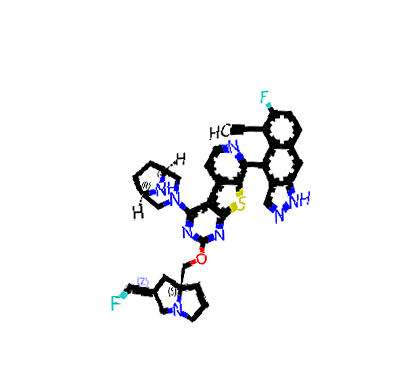 C#Cc1c(F)ccc2cc3[nH]ncc3c(-c3nccc4c3sc3nc(OC[C@@]56CCCN5C/C(=C\F)C6)nc(N5C[C@H]6CC[C@@H](C5)N6)c34)c12